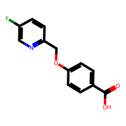 O=C(O)c1ccc(OCc2ccc(F)cn2)cc1